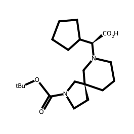 CC(C)(C)OC(=O)N1CC[C@@]2(CCCN([C@H](C(=O)O)C3CCCC3)C2)C1